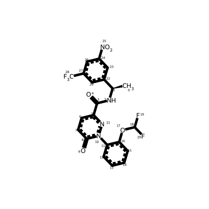 C[C@@H](NC(=O)c1ccc(=O)n(-c2ccccc2OC(F)F)n1)c1cc([N+](=O)[O-])cc(C(F)(F)F)c1